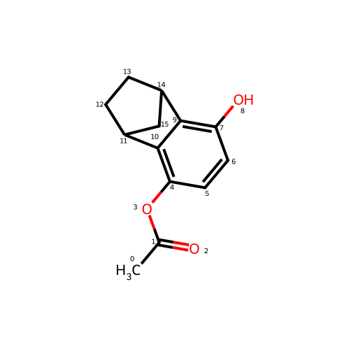 CC(=O)Oc1ccc(O)c2c1C1CCC2C1